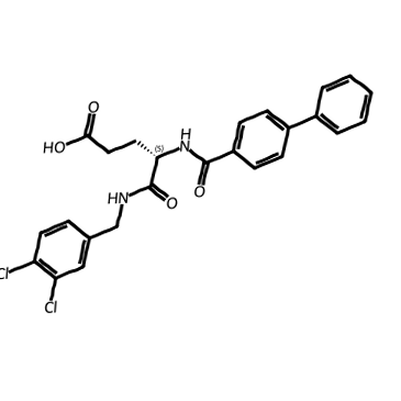 O=C(O)CC[C@H](NC(=O)c1ccc(-c2ccccc2)cc1)C(=O)NCc1ccc(Cl)c(Cl)c1